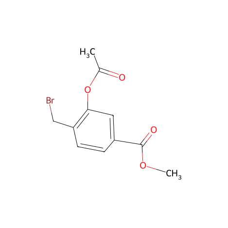 COC(=O)c1ccc(CBr)c(OC(C)=O)c1